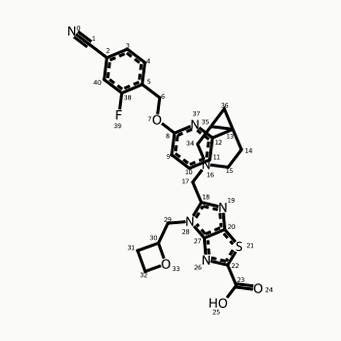 N#Cc1ccc(COc2cccc(C34CCN(Cc5nc6sc(C(=O)O)nc6n5CC5CCO5)CC3C4)n2)c(F)c1